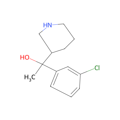 CC(O)(c1cccc(Cl)c1)C1CCCNC1